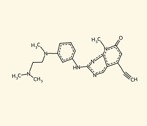 C#Cc1cc(=O)n(C)c2nc(Nc3cccc(N(C)CCN(C)C)c3)ncc12